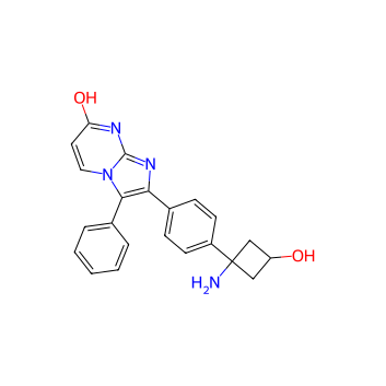 NC1(c2ccc(-c3nc4nc(O)ccn4c3-c3ccccc3)cc2)CC(O)C1